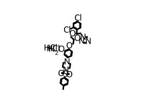 Cc1ccc(S(=O)(=O)N2CCN(c3ccc(OCC4COC(Cn5cncn5)(c5ccc(Cl)cc5Cl)O4)cc3)CC2)cc1.Cl.Cl.O